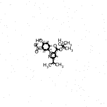 CC(C)c1cc(C(=O)OC(C)(C)C)n(-c2ccc(O)c([N+](=O)[O-])c2)n1